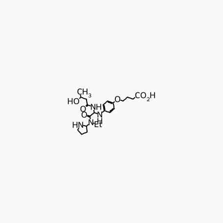 CCN(C(=O)C(NC(=O)CC(C)O)Nc1ccc(OCCCC(=O)O)cc1)C1CCCN1